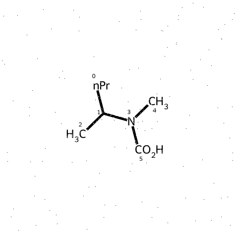 CCCC(C)N(C)C(=O)O